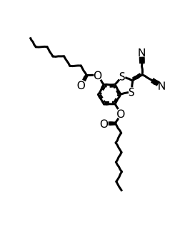 CCCCCCCC(=O)Oc1ccc(OC(=O)CCCCCCC)c2c1SC(=C(C#N)C#N)S2